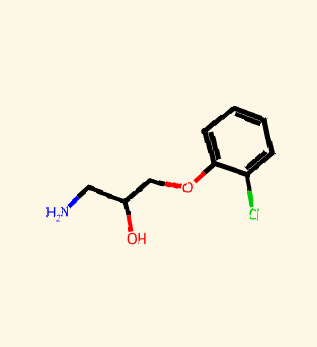 NCC(O)COc1ccccc1Cl